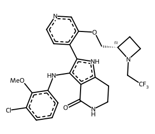 COc1c(Cl)cccc1Nc1c(-c2ccncc2OC[C@@H]2CCN2CC(F)(F)F)[nH]c2c1C(=O)NCC2